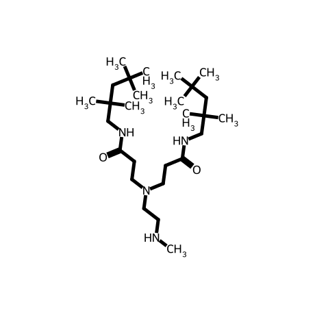 CNCCN(CCC(=O)NCC(C)(C)CC(C)(C)C)CCC(=O)NCC(C)(C)CC(C)(C)C